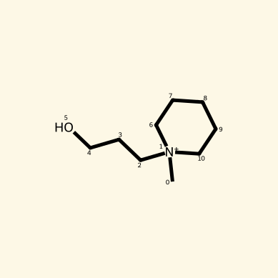 C[N+]1(CCCO)CCCCC1